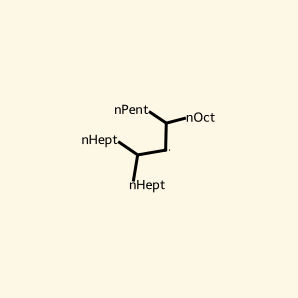 CCCCCCCCC([CH]C(CCCCCCC)CCCCCCC)CCCCC